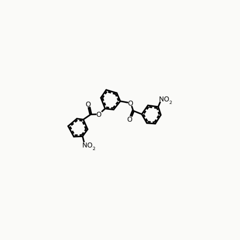 O=C(Oc1cccc(OC(=O)c2cccc([N+](=O)[O-])c2)c1)c1cccc([N+](=O)[O-])c1